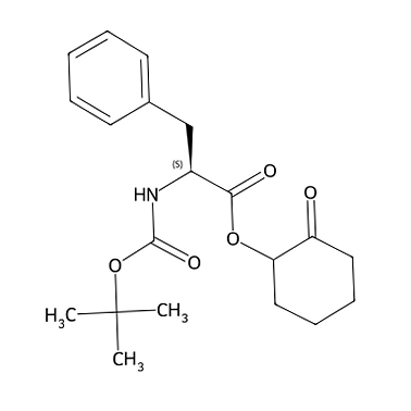 CC(C)(C)OC(=O)N[C@@H](Cc1ccccc1)C(=O)OC1CCCCC1=O